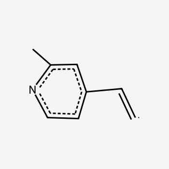 [CH]=Cc1ccnc(C)c1